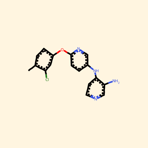 Cc1ccc(Oc2ccc(Nc3ccncc3N)cn2)cc1Cl